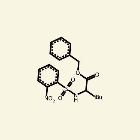 CCC(C)C(NS(=O)(=O)c1ccccc1[N+](=O)[O-])C(=O)OCc1ccccc1